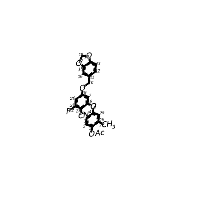 CC(=O)Oc1ccc(Oc2cc(OCc3ccc4c(c3)OCO4)cc(F)c2C#N)cc1C